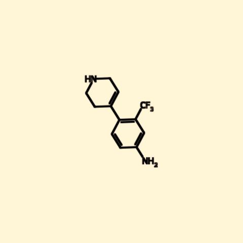 Nc1ccc(C2=CCNCC2)c(C(F)(F)F)c1